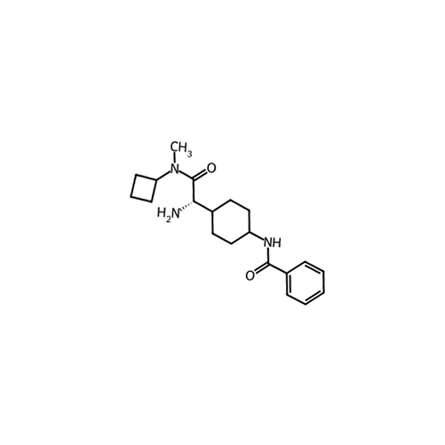 CN(C(=O)[C@@H](N)C1CCC(NC(=O)c2ccccc2)CC1)C1CCC1